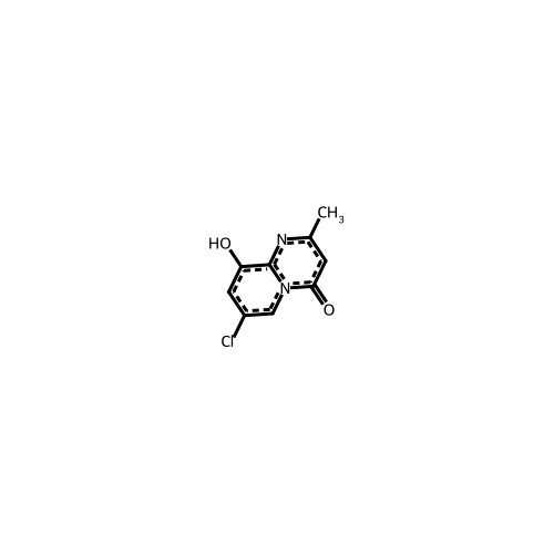 Cc1cc(=O)n2cc(Cl)cc(O)c2n1